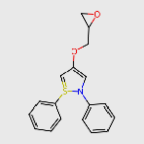 C1=C(OCC2CO2)C=S(c2ccccc2)N1c1ccccc1